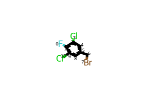 Fc1c(Cl)cc(CBr)cc1Cl